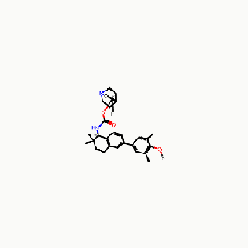 CCOc1c(C)cc(-c2ccc3c(c2)CCC(C)(C)[C@H]3NC(=O)O[C@@H]2CN3CCC2CC3)cc1C